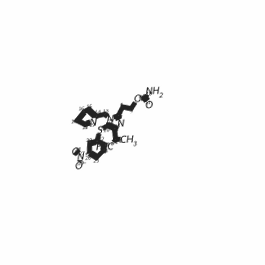 CC(C)c1nc(CCOC(N)=O)n(Cc2ccccn2)c1Sc1cccc([N+](=O)[O-])c1